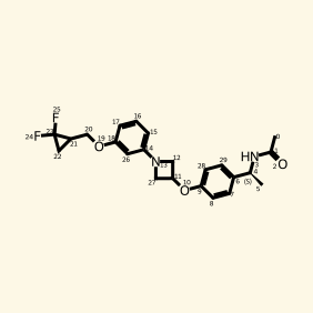 CC(=O)N[C@@H](C)c1ccc(OC2CN(c3cccc(OCC4CC4(F)F)c3)C2)cc1